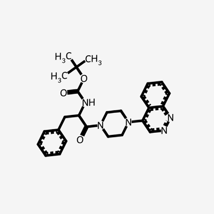 CC(C)(C)OC(=O)NC(Cc1ccccc1)C(=O)N1CCN(c2cnnc3ccccc23)CC1